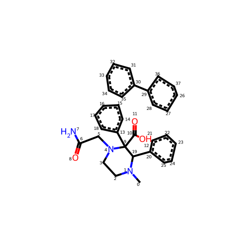 CN1CCN(CC(N)=O)C(C(=O)O)(c2ccccc2)C1c1ccccc1.c1ccc(-c2ccccc2)cc1